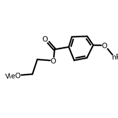 CCCOc1ccc(C(=O)OCCOC)cc1